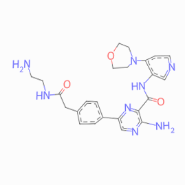 NCCNC(=O)Cc1ccc(-c2cnc(N)c(C(=O)Nc3cnccc3N3CCOCC3)n2)cc1